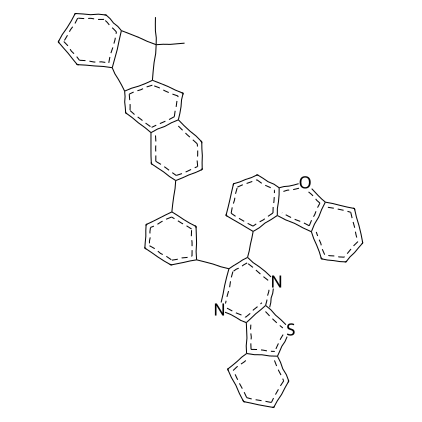 CC1(C)c2ccccc2-c2cc3cc(-c4cccc(-c5nc6c(nc5-c5cccc7oc8ccccc8c57)sc5ccccc56)c4)ccc3cc21